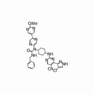 COc1ncc(-c2cnc(N(C(=O)NCc3ccccc3)C3CCC(Nc4ncc(C#N)c(-c5n[nH]cc5Cl)n4)CC3)cn2)cn1